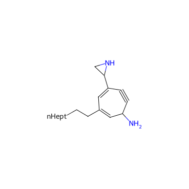 CCCCCCCCCC1=CC(N)C#CC(C2CN2)=C1